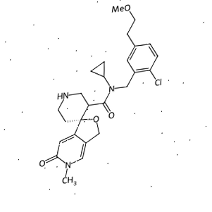 COCCc1ccc(Cl)c(CN(C(=O)C2CNCC[C@@]23OCc2cn(C)c(=O)cc23)C2CC2)c1